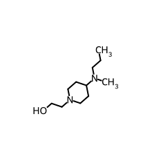 CCCN(C)C1CCN(CCO)CC1